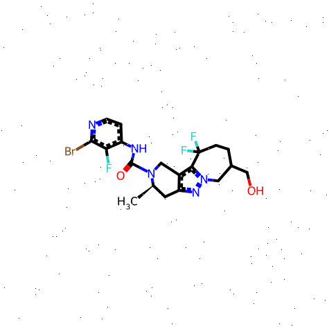 C[C@@H]1Cc2nn3c(c2CN1C(=O)Nc1ccnc(Br)c1F)C(F)(F)CCC(CO)C3